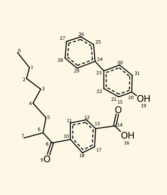 CCCCCCC(C)C(=O)c1ccc(C(=O)O)cc1.Oc1ccc(-c2ccccc2)cc1